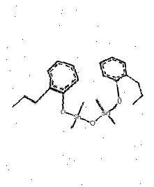 CCCc1ccccc1[O][Sn]([CH3])([CH3])[O][Sn]([CH3])([CH3])[O]c1ccccc1CCC